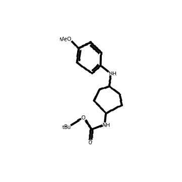 COc1ccc(NC2CCC(NC(=O)OC(C)(C)C)CC2)cc1